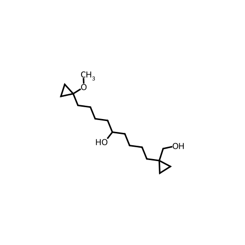 COC1(CCCCC(O)CCCCC2(CO)CC2)CC1